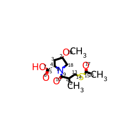 CO[C@H]1C[C@@H](C(=O)O)N(C(=O)C(C)CSC(C)=O)C1